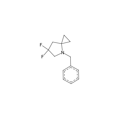 FC1(F)CN(Cc2ccccc2)C2(CC2)C1